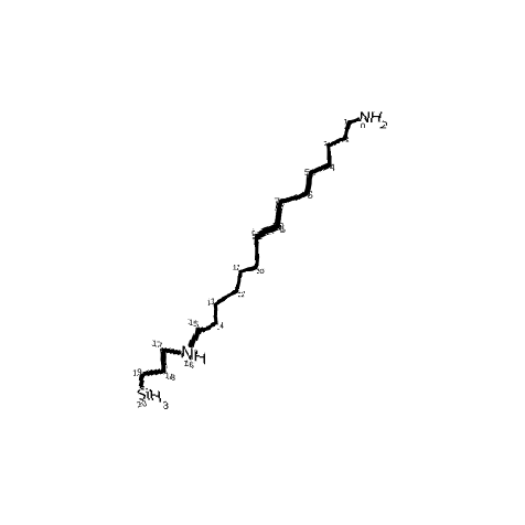 NCCCCCCCCCCCCCCCNCCC[SiH3]